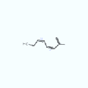 C=C(C)/C=C\C=C/CO